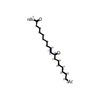 CCCCC(=O)CCCCCCC/C=C/C(=O)CCCCCCCC(C)=O